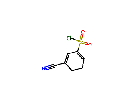 N#CC1=CC(S(=O)(=O)Cl)=CCC1